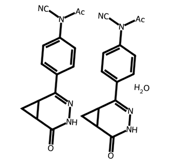 CC(=O)N(C#N)c1ccc(C2=NNC(=O)C3CC23)cc1.CC(=O)N(C#N)c1ccc(C2=NNC(=O)C3CC23)cc1.O